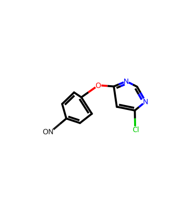 O=Nc1ccc(Oc2cc(Cl)ncn2)cc1